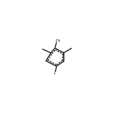 Cc1cc(F)cc(C)c1C#N